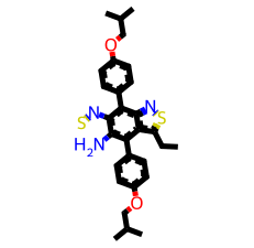 CCc1snc2c(-c3ccc(OCC(C)C)cc3)c(N=S)c(N)c(-c3ccc(OCC(C)C)cc3)c12